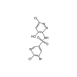 O=S(=O)(Nc1nnc(Cl)cc1O)c1cnc(Cl)c(Br)c1